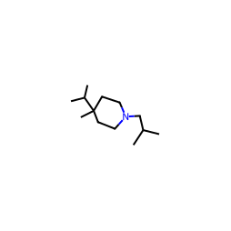 CC(C)CN1CCC(C)(C(C)C)CC1